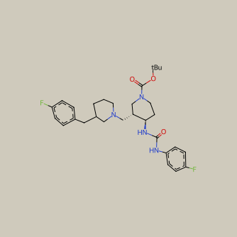 CC(C)(C)OC(=O)N1CC[C@@H](NC(=O)Nc2ccc(F)cc2)[C@H](CN2CCCC(Cc3ccc(F)cc3)C2)C1